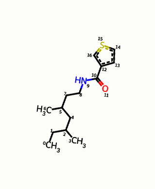 CCC(C)CC(C)CCNC(=O)c1ccsc1